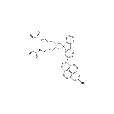 C=CC(=O)OCCCCCC1(CCCCCOC(=O)C=C)c2cc(F)ccc2-c2ccc(-c3ccc4ccc5cc(C(C)(C)C)cc6ccc3c4c56)cc21